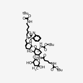 CC(C)(C)OC(=O)NCCCCCN(CC1=CCC[C@@H](O[C@H]2[C@H](O)[C@@H](O[C@H]3OC[C@](C)(O)C[C@H]3O)[C@H](NC(=O)CCCNC(=O)OC(C)(C)C)C[C@@H]2NC(=O)OC(C)(C)C)O1)S(=O)(=O)c1ccccc1[N+](=O)[O-]